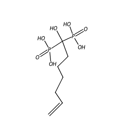 C=CCCCCC(O)(P(=O)(O)O)P(=O)(O)O